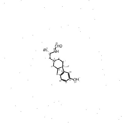 CC(C)[C@@H](CN1CC[C@@](C)(c2cccc(O)c2)C(C)C1)NC=O